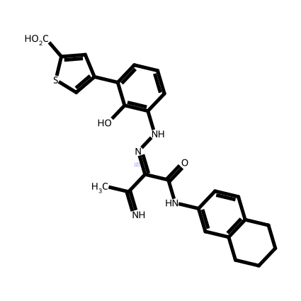 CC(=N)/C(=N/Nc1cccc(-c2csc(C(=O)O)c2)c1O)C(=O)Nc1ccc2c(c1)CCCC2